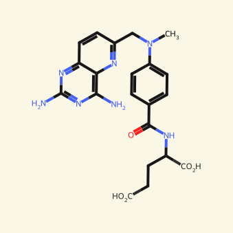 CN(Cc1ccc2nc(N)nc(N)c2n1)c1ccc(C(=O)NC(CCC(=O)O)C(=O)O)cc1